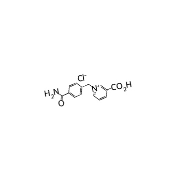 NC(=O)c1ccc(C[n+]2cccc(C(=O)O)c2)cc1.[Cl-]